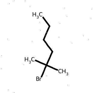 CCCCC(C)(C)Br